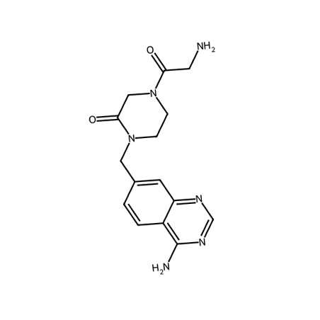 NCC(=O)N1CCN(Cc2ccc3c(N)ncnc3c2)C(=O)C1